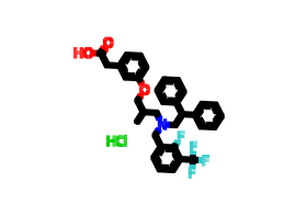 CC(COc1cccc(CC(=O)O)c1)CN(Cc1cccc(C(F)(F)F)c1F)CC(c1ccccc1)c1ccccc1.Cl